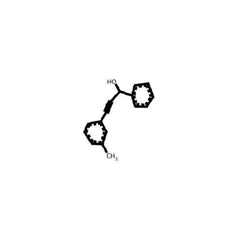 Cc1cccc(C#CC(O)c2ccccc2)c1